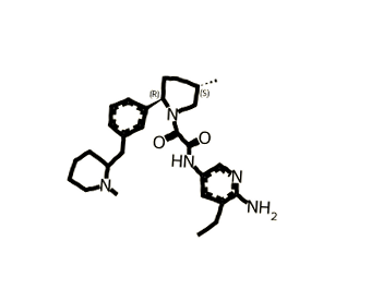 CCc1cc(NC(=O)C(=O)N2C[C@@H](C)CC[C@@H]2c2cccc(CC3CCCCN3C)c2)cnc1N